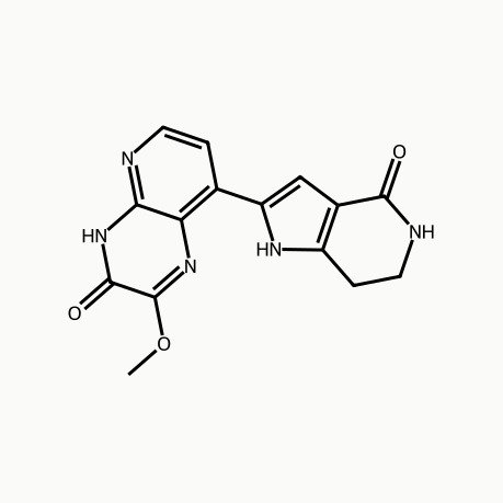 COc1nc2c(-c3cc4c([nH]3)CCNC4=O)ccnc2[nH]c1=O